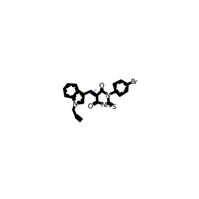 C#CCn1cc(/C=C2\C(=O)NC(=S)N(c3ccc(Br)cc3)C2=O)c2ccccc21